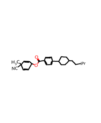 CC(C)CCC1CCC(c2ccc(C(=O)OC3C=CC(C)(C#N)C=C3)cc2)CC1